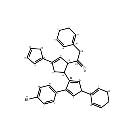 CCc1ccc(C2=CC(C3=CCCC=C3)C=C2C2CC(C3=CC=CC3)=CC2C(=O)CC2=CCCC=C2)cc1